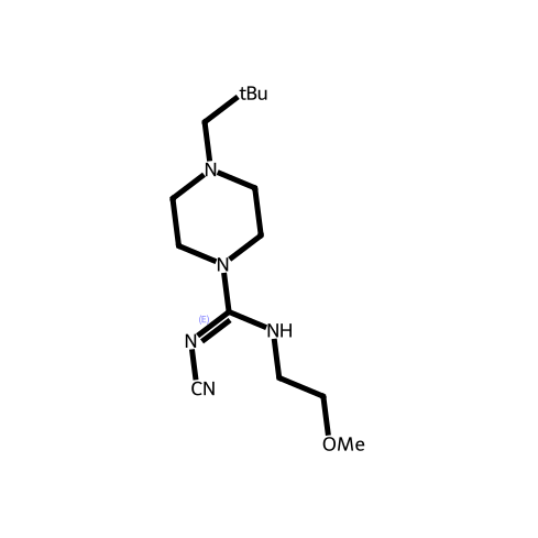 COCCN/C(=N\C#N)N1CCN(CC(C)(C)C)CC1